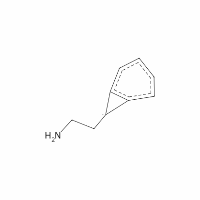 NCC[C]1c2ccccc21